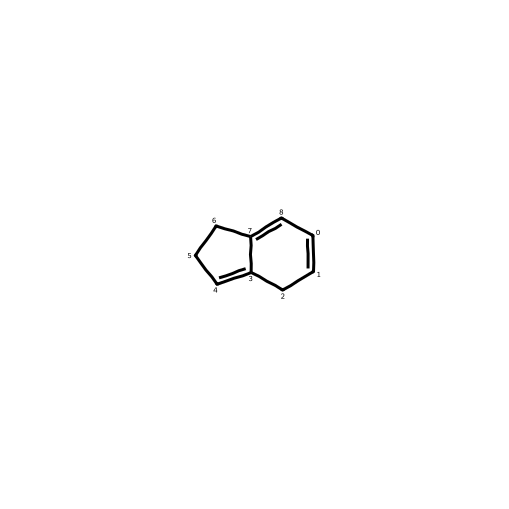 C1=CCC2=CCCC2=C1